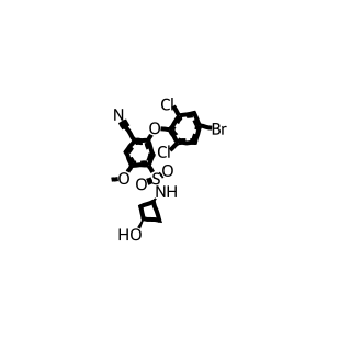 COc1cc(C#N)c(Oc2c(Cl)cc(Br)cc2Cl)cc1S(=O)(=O)N[C@H]1C[C@H](O)C1